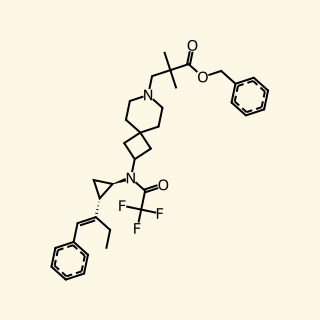 CC/C(=C\c1ccccc1)[C@@H]1C[C@H]1N(C(=O)C(F)(F)F)C1CC2(CCN(CC(C)(C)C(=O)OCc3ccccc3)CC2)C1